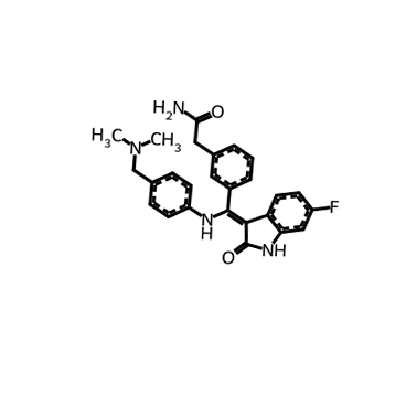 CN(C)Cc1ccc(N/C(=C2\C(=O)Nc3cc(F)ccc32)c2cccc(CC(N)=O)c2)cc1